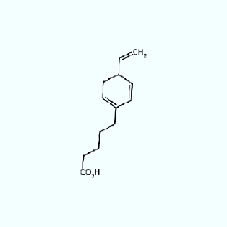 C=CC1C=CC(CCCCC(=O)O)=CC1